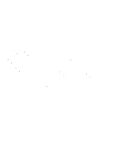 Cn1nnnc1SCC1(C(=O)O)CS[C@@H]2C(NC(=O)CC(=O)CBr)C(=O)N2C1